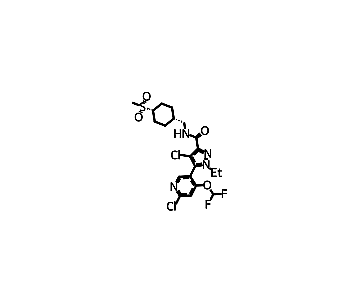 CCn1nc(C(=O)NC[C@H]2CC[C@@H](S(C)(=O)=O)CC2)c(Cl)c1-c1cnc(Cl)cc1OC(F)F